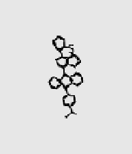 CC(C)c1ccc(-c2c3ccccc3c(-c3ccc4c5c(cccc35)Sc3ccccc3-4)c3ccccc23)cc1